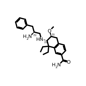 CCC1(CC)c2cc(C(N)=O)ccc2C[C@H](OC)[C@H]1NC[C@@H](N)Cc1ccccc1